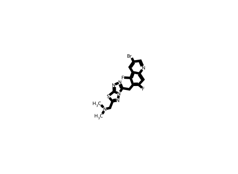 CN(C)Cc1nn2c(Cc3c(F)cc4ncc(Br)cc4c3F)nnc2s1